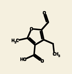 CCc1c(C=O)oc(C)c1C(=O)O